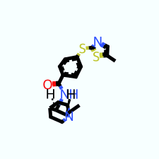 Cc1cnc(Sc2ccc(C(=O)N[C@@H]3C4CCN(CC4)[C@H]3C)cc2)s1